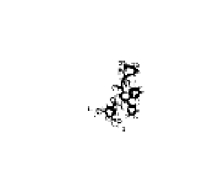 CN(C(=O)c1cc(C(F)(F)F)cc(C(F)(F)F)c1)C(CCC(=O)NCc1ccccn1)C(c1ccccc1)c1ccccc1